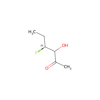 CC[C@H](F)C(O)C(C)=O